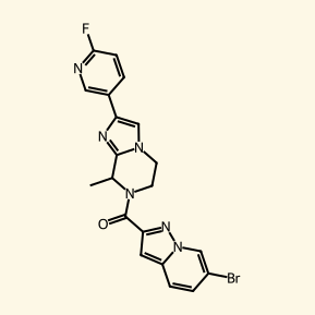 CC1c2nc(-c3ccc(F)nc3)cn2CCN1C(=O)c1cc2ccc(Br)cn2n1